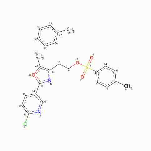 Cc1ccc(S(=O)(=O)OCCc2nc(-c3ccc(Cl)nc3)oc2C)cc1.Cc1ccccc1